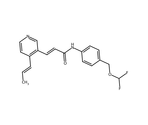 C/C=C/c1ccncc1/C=C/C(=O)Nc1ccc(COC(F)F)cc1